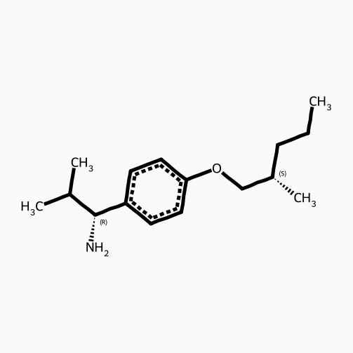 CCC[C@H](C)COc1ccc([C@H](N)C(C)C)cc1